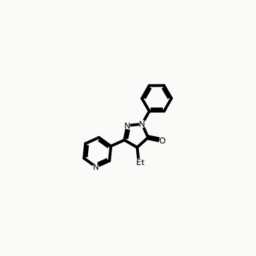 CCC1C(=O)N(c2ccccc2)N=C1c1cccnc1